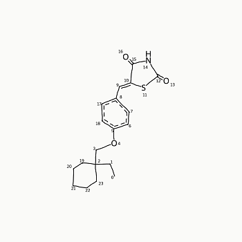 CCC1(COc2ccc(/C=C3\SC(=O)NC3=O)cc2)CCCCC1